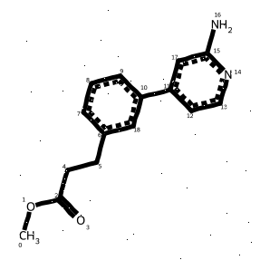 COC(=O)CCc1cccc(-c2ccnc(N)c2)c1